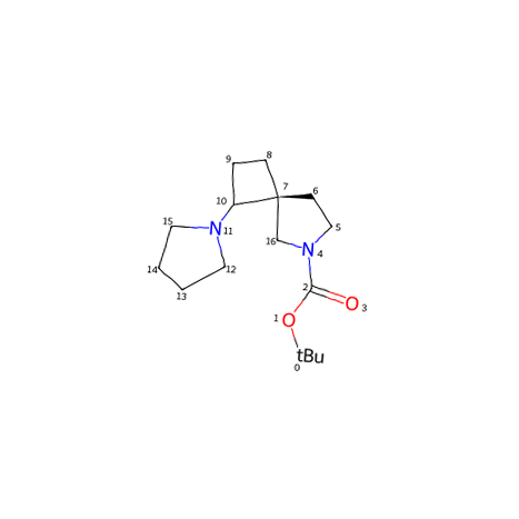 CC(C)(C)OC(=O)N1CC[C@@]2(CCC2N2CCCC2)C1